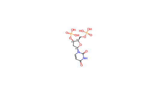 O=c1ccn([C@H]2C[C@@H](OP(=O)(O)O)[C@@H](COP(=O)(O)O)O2)c(=O)[nH]1